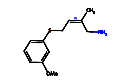 COc1cccc(SC/C=C(/C)CN)c1